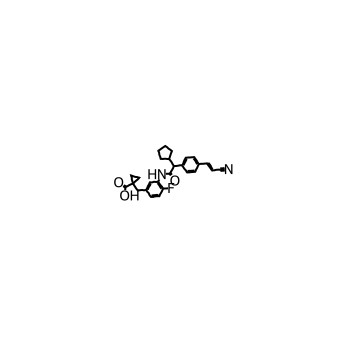 N#C/C=C/c1ccc(C(C(=O)Nc2cc(CC3(C(=O)O)CC3)ccc2F)C2CCCC2)cc1